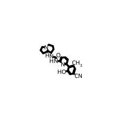 Cc1cc(C#N)cc(O)c1-c1ccc2oc(N[C@@H]3CCCN4CCC[C@H]34)nc2n1